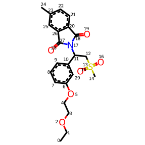 CCOCCOc1cccc(C(CS(C)(=O)=O)N2C(=O)c3ccc(C)cc3C2=O)c1